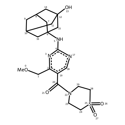 COCc1nc(NC23CC4CC(CC(O)(C4)C2)C3)ncc1C(=O)N1CCS(=O)(=O)CC1